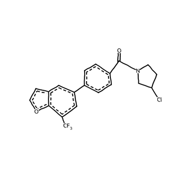 O=C(c1ccc(-c2cc(C(F)(F)F)c3occc3c2)cc1)N1CCC(Cl)C1